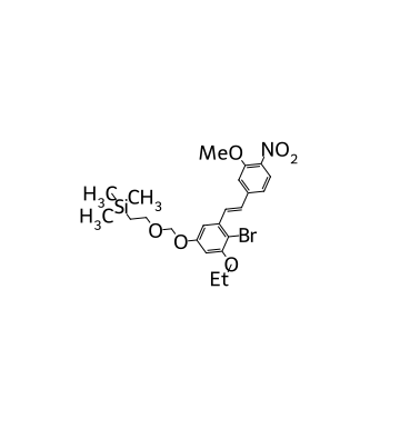 CCOc1cc(OCOCC[Si](C)(C)C)cc(C=Cc2ccc([N+](=O)[O-])c(OC)c2)c1Br